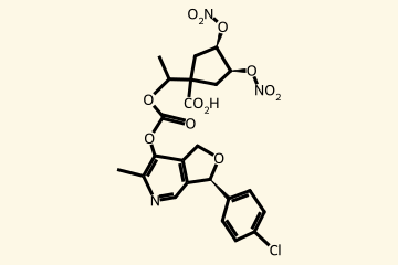 Cc1ncc2c(c1OC(=O)OC(C)C1(C(=O)O)C[C@H](O[N+](=O)[O-])[C@H](O[N+](=O)[O-])C1)CO[C@H]2c1ccc(Cl)cc1